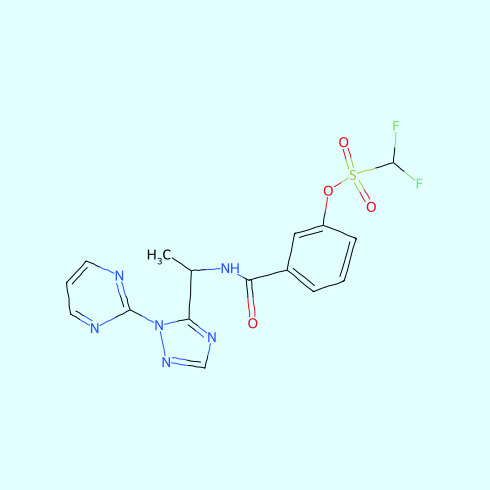 CC(NC(=O)c1cccc(OS(=O)(=O)C(F)F)c1)c1ncnn1-c1ncccn1